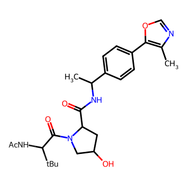 CC(=O)NC(C(=O)N1CC(O)CC1C(=O)NC(C)c1ccc(-c2ocnc2C)cc1)C(C)(C)C